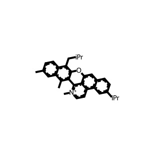 Cc1ccc2c(CC(C)C)c3c(c(C)c2c1)-c1c2c(cc4ccc(C(C)C)cc4c2cc[n+]1C)O3